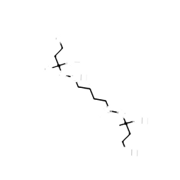 CCCC(C)(C)O[SiH2]CCCC[SiH2]OC(C)(C)CCC